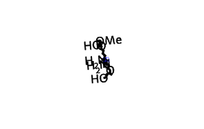 COP(O)OCCCC/C(N)=C/N(N)CCOC(C)CCO